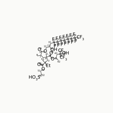 CCC(C)(CC(C)(CC(C)C(=O)OCC(O)CC(F)(F)C(F)(F)C(F)(F)C(F)(F)C(F)(F)C(F)(F)C(F)(F)C(F)(F)F)C(=O)OC(C)CC(O)(C(F)(F)F)C(F)(F)F)C(=O)OCCS(=O)(=O)O